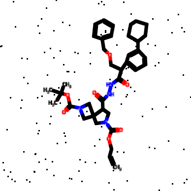 C=CCOC(=O)N1CC(C(=O)NNC(=O)C(COCc2ccccc2)c2cccc(C3CCCCC3)c2)C2(C1)CN(C(=O)OC(C)(C)C)C2